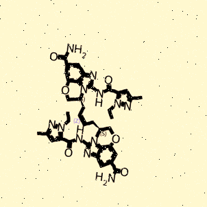 CCn1nc(C)cc1C(=O)Nc1nc2cc(C(N)=O)cc3c2n1[C@@H](C/C=C\C[C@H]1COc2cc(C(N)=O)cc4nc(NC(=O)c5cc(C)nn5CC)n1c24)CO3